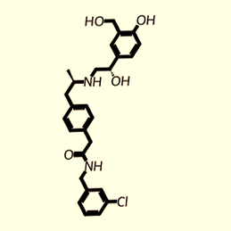 C[C@H](Cc1ccc(CC(=O)NCc2cccc(Cl)c2)cc1)NC[C@@H](O)c1ccc(O)c(CO)c1